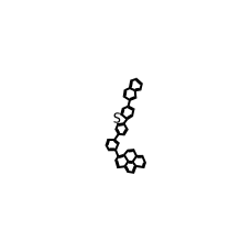 c1cc(-c2ccc3c(c2)sc2cc(-c4ccc5ccccc5c4)ccc23)cc(-c2ccc3ccc4cccc5ccc2c3c45)c1